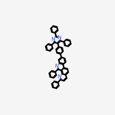 c1ccc(-c2ccc3ccc4c5ccc(-c6ccc(-c7c(-c8ccccc8)nc(-c8ccccc8)nc7-c7ccccc7)cc6)cc5nc(-c5ccccc5)c4c3n2)cc1